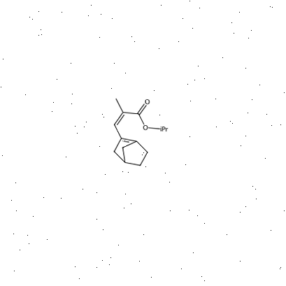 CC(=CC1=C2CCC(C1)C2)C(=O)OC(C)C